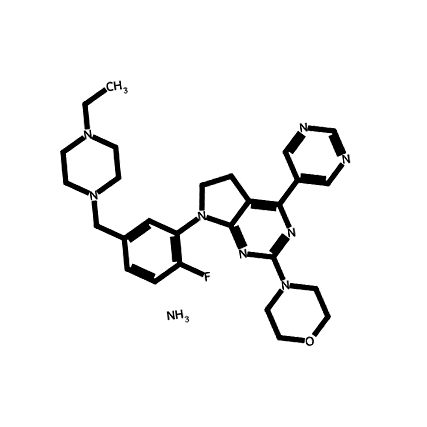 CCN1CCN(Cc2ccc(F)c(N3CCc4c(-c5cncnc5)nc(N5CCOCC5)nc43)c2)CC1.N